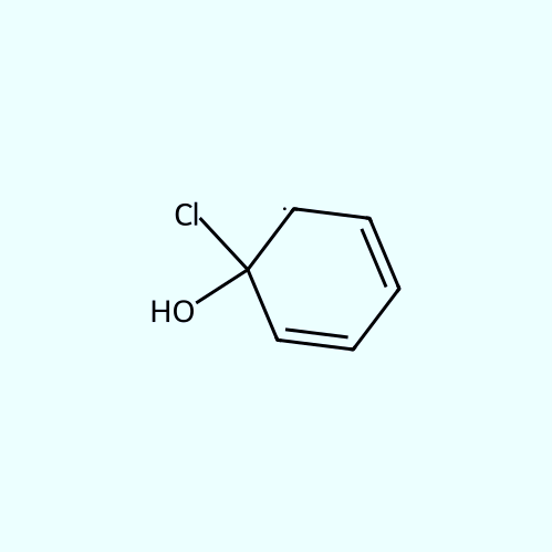 OC1(Cl)[CH]C=CC=C1